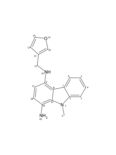 Cn1c2ccccc2c2c(NCc3ccoc3)ccc(N)c21